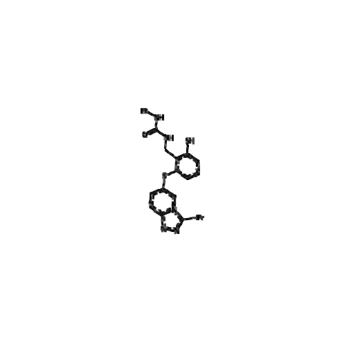 CCNC(=O)NCc1c(S)cccc1Sc1ccc2nnc(C(C)C)n2c1